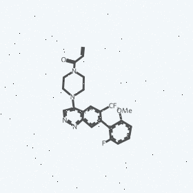 C=CC(=O)N1CCN(c2cnnc3cc(-c4c(F)cccc4OC)c(C(F)(F)F)cc23)CC1